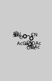 CC(=O)OC[C@H]1O[C@@H](c2ccc(C#N)c(Cc3ccc(OCCO[Si](C)(C)C(C)(C)C)cc3)c2)[C@H](OC(C)=O)[C@@H](OC(C)=O)[C@@H]1OC(C)=O